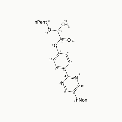 CCCCCCCCCc1cnc(-c2ccc(OC(=O)C(C)OCCCCC)cc2)nc1